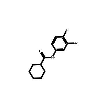 CC(=O)c1cc(NC(=O)C2CCCCC2)ccc1Cl